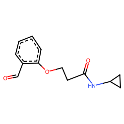 O=Cc1ccccc1OCCC(=O)NC1CC1